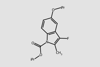 Cc1c(F)c2cc(OC(C)C)ccc2n1C(=O)OC(C)C